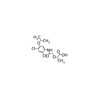 CC(C)Oc1cc(NC(=O)COC(C)C(=O)O)c(Cl)cc1Cl